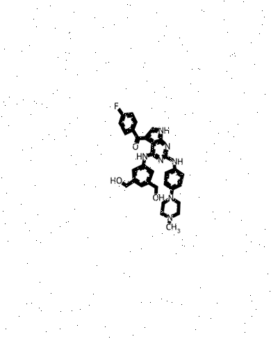 CN1CCN(c2ccc(Nc3nc(Nc4cc(CO)cc(CO)c4)c4c(C(=O)c5ccc(F)cc5)c[nH]c4n3)cc2)CC1